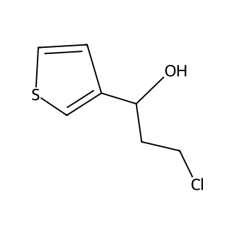 OC(CCCl)c1ccsc1